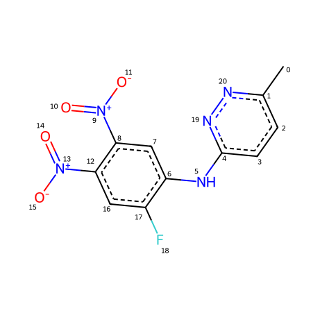 Cc1ccc(Nc2cc([N+](=O)[O-])c([N+](=O)[O-])cc2F)nn1